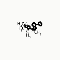 CC1=Cc2c(-c3ccccc3)cccc2C1[SiH2]C1=C(C)C2C(=C1)SC(C)=C2C